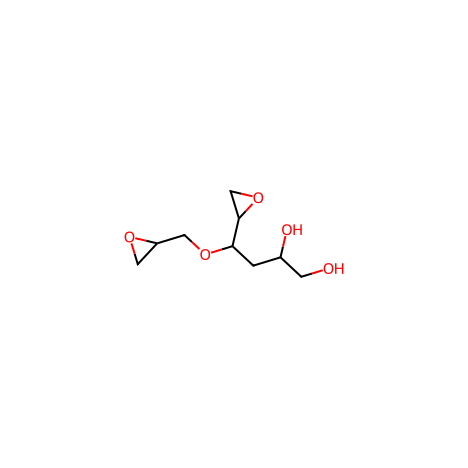 OCC(O)CC(OCC1CO1)C1CO1